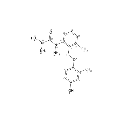 Cc1cc(O)ccc1OCc1c(C)cccc1N(N)C(=O)N(C)N